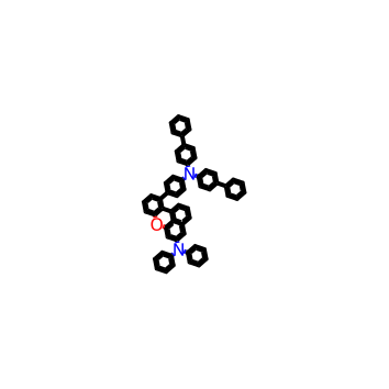 c1ccc(-c2ccc(N(c3ccc(-c4ccccc4)cc3)c3ccc(-c4cccc5c4-c4cccc6cc(N(c7ccccc7)c7ccccc7)cc(c46)O5)cc3)cc2)cc1